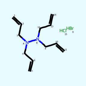 Br.C=CCN(CC=C)N(CC=C)CC=C.Cl